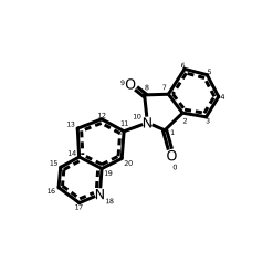 O=C1c2ccccc2C(=O)N1c1ccc2cccnc2c1